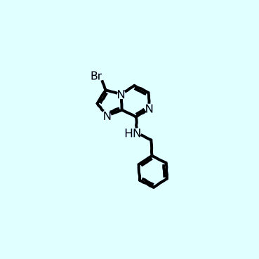 Brc1cnc2c(NCc3ccccc3)nccn12